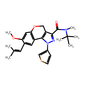 COc1cc2c(cc1C=C(C)C)-c1c(c(C(=O)N(C)C(C)(C)C)nn1-c1ccsc1)CO2